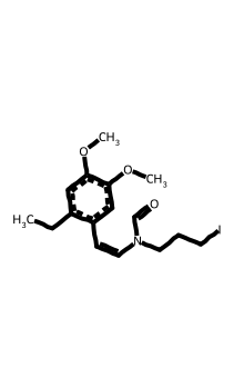 CCc1cc(OC)c(OC)cc1/C=C\N(C=O)CCCI